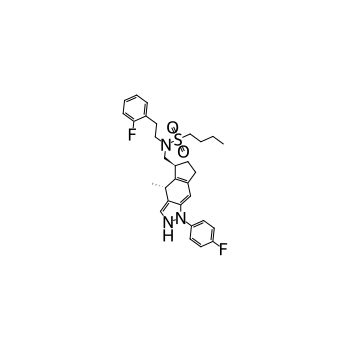 CCCCS(=O)(=O)N(CCc1ccccc1F)C[C@H]1CCC2=C1[C@@H](C)C1=CNN(c3ccc(F)cc3)C1=C2